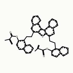 C=C(C)C(=O)Oc1ccc2ccccc2c1CCc1cc2ccccc2c2c1sc1c(CCc3c(OC(=O)C(=C)C)ccc4ccccc34)cc3ccccc3c12